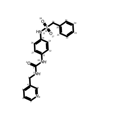 O=C(NCc1cccnc1)Nc1ccc(NS(=O)(=O)Cc2ccccc2)cc1